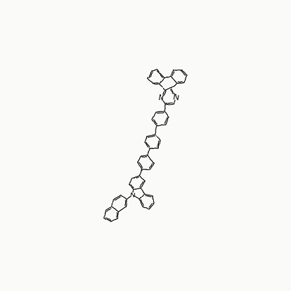 c1ccc2cc(-n3c4ccccc4c4cc(-c5ccc(-c6ccc(-c7ccc(-c8cnc9c%10ccccc%10c%10ccccc%10c9n8)cc7)cc6)cc5)ccc43)ccc2c1